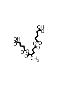 CC(CCC(=O)OC(=O)CCCC(=O)O)C(=O)OC(=O)CCCC(=O)O